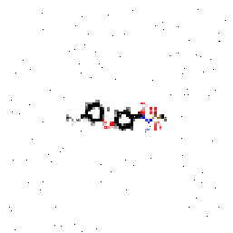 CS(=O)(=O)NC(=O)c1ccc(Oc2cccc(C(F)(F)F)c2)cc1